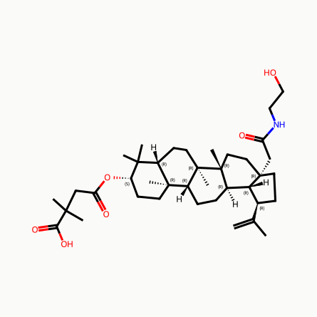 C=C(C)[C@@H]1CC[C@]2(CC(=O)NCCO)CC[C@]3(C)[C@H](CC[C@@H]4[C@@]5(C)CC[C@H](OC(=O)CC(C)(C)C(=O)O)C(C)(C)[C@@H]5CC[C@]43C)[C@@H]12